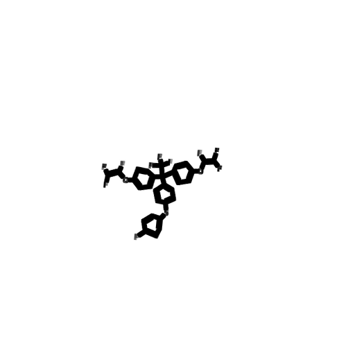 FC(F)=C(F)Oc1ccc(C(c2ccc(OC(F)=C(F)F)cc2)(c2ccc(Sc3ccc(F)cc3)cc2)C(F)(F)F)cc1